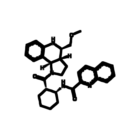 COC[C@@H]1Nc2ccccc2[C@H]2[C@H]1CCN2C(=O)[C@H]1CCCC[C@H]1NC(=O)c1ccc2ccccc2n1